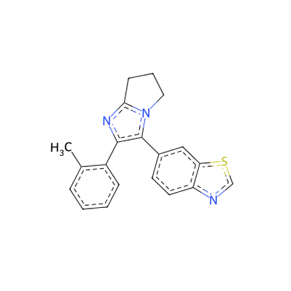 Cc1ccccc1-c1nc2n(c1-c1ccc3ncsc3c1)CCC2